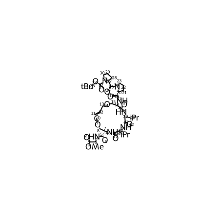 COC(=O)CNC(=O)[C@@H]1COC/C=C/COC[C@H](NC(=O)[C@H]2CCCN2C(=O)C2CCCN2C(=O)OC(C)(C)C)C(=O)N[C@@H](C(C)C)C(=O)N[C@@H](C(C)C)C(=O)N1